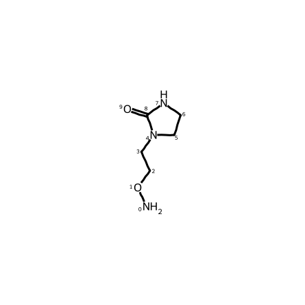 NOCCN1CCNC1=O